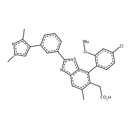 Cc1cc2nc(-c3cccc(-c4cn(C)nc4C)c3)sc2c(-c2ccc(Cl)cc2OC(C)(C)C)c1CC(=O)O